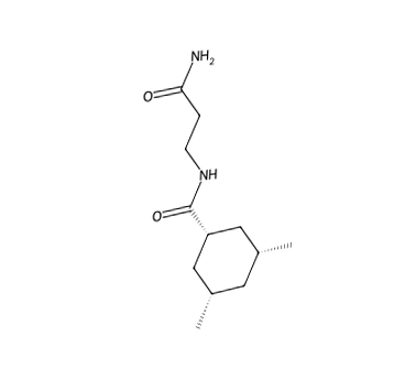 C[C@@H]1C[C@H](C)C[C@H](C(=O)NCCC(N)=O)C1